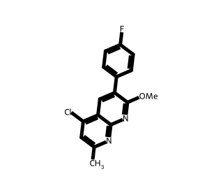 COc1nc2nc(C)cc(Cl)c2cc1-c1ccc(F)cc1